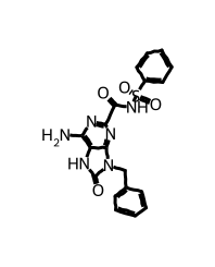 Nc1nc(C(=O)NS(=O)(=O)c2ccccc2)nc2c1[nH]c(=O)n2Cc1ccccc1